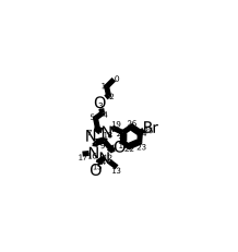 CCCOCCc1nc2c(c(=O)n(C)c(=O)n2C)n1Cc1cccc(Br)c1